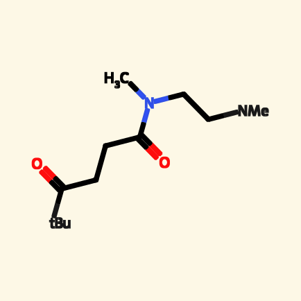 CNCCN(C)C(=O)CCC(=O)C(C)(C)C